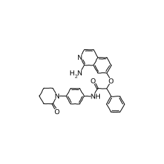 Nc1nccc2ccc(OC(C(=O)Nc3ccc(N4CCCCC4=O)cc3)c3ccccc3)cc12